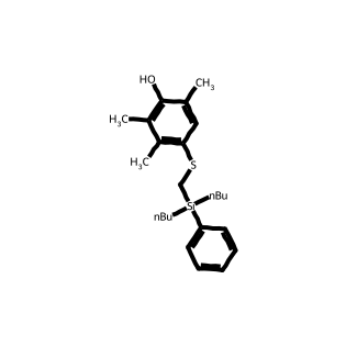 CCCC[Si](CCCC)(CSc1cc(C)c(O)c(C)c1C)c1ccccc1